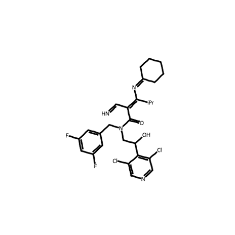 CC(C)/C(N=C1CCCCC1)=C(/C=N)C(=O)N(Cc1cc(F)cc(F)c1)CC(O)c1c(Cl)cncc1Cl